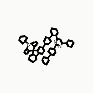 c1ccc(-c2ccc(-c3nc(-c4ccccc4)cc(-c4ccccc4-c4ccc(-c5ccc6c(c5)C5(c7ccccc7-6)c6ccccc6N(c6ccccc6)c6ccccc65)cc4)n3)cc2)cc1